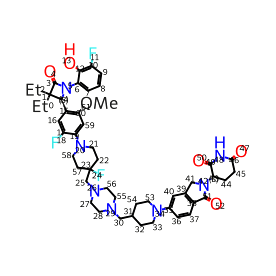 CCC1(CC)C(=O)N(c2cccc(F)c2O)[C@H]1c1cc(F)c(N2CCC(F)(CN3CCN(CC4CCN(c5ccc6c(c5)CN([C@H]5CCC(=O)NC5=O)C6=O)CC4)CC3)CC2)cc1OC